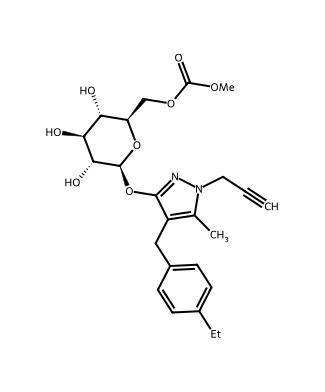 C#CCn1nc(O[C@@H]2O[C@H](COC(=O)OC)[C@@H](O)[C@H](O)[C@H]2O)c(Cc2ccc(CC)cc2)c1C